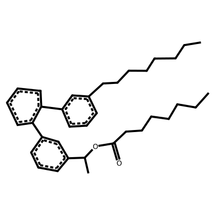 CCCCCCCCc1cccc(-c2ccccc2-c2cccc(C(C)OC(=O)CCCCCCC)c2)c1